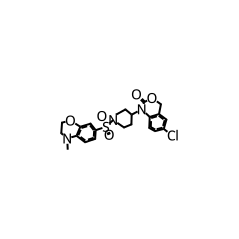 CN1CCOc2cc(S(=O)(=O)N3CCC(N4C(=O)OCc5cc(Cl)ccc54)CC3)ccc21